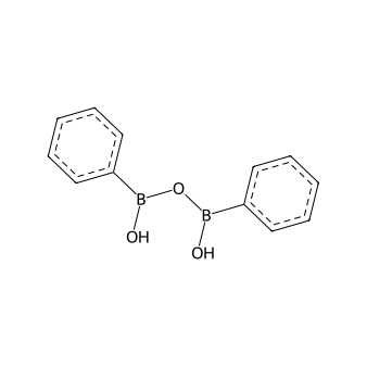 OB(OB(O)c1ccccc1)c1ccccc1